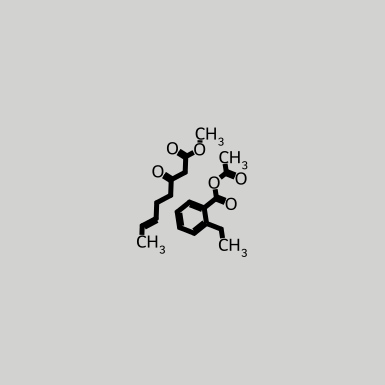 CC=CCCC(=O)CC(=O)OC.CCc1ccccc1C(=O)OC(C)=O